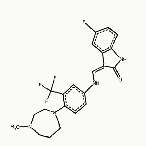 CN1CCCN(c2ccc(NC=C3C(=O)Nc4ccc(F)cc43)cc2C(F)(F)F)CC1